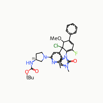 COC1C(c2ccccc2)=CC(F)=C(n2ccn(C)c2=O)C1(Cl)c1cc(C)nc(N2CC[C@H](NC(=O)OC(C)(C)C)C2)c1